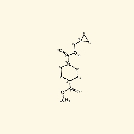 COC(=O)C1CCN(C(=O)OCC2CC2)CC1